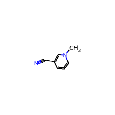 CN1C=C=CC(C#N)=C1